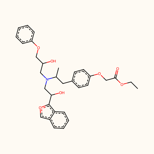 CCOC(=O)COc1ccc(CC(C)N(CC(O)COc2ccccc2)CC(O)c2occ3ccccc23)cc1